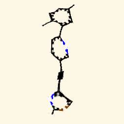 CCc1ccc(C)cc1-c1ccc(C#Cc2csc(C)n2)cn1